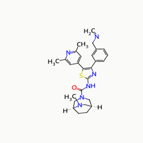 C=NCc1cccc(-c2nc(NC(=O)N3C[C@H]4CC[C@@H](C3)N(C)C4)sc2-c2cc(C)nc(C)c2)c1